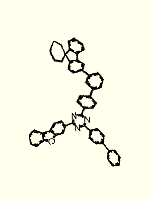 c1ccc(-c2ccc(-c3nc(-c4ccc(-c5cccc(-c6ccc7c(c6)-c6ccccc6C76CCCCC6)c5)cc4)nc(-c4ccc5c(c4)oc4ccccc45)n3)cc2)cc1